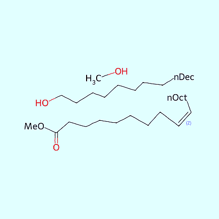 CCCCCCCC/C=C\CCCCCCCC(=O)OC.CCCCCCCCCCCCCCCCCCO.CO